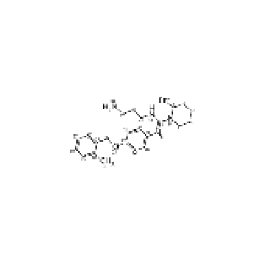 CCC1CCCCN1/C(=N/c1ccc(OCc2ccccc2C)cc1)NCCCN